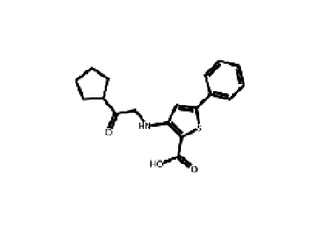 O=C(O)c1sc(-c2ccccc2)cc1NCC(=O)C1CCCC1